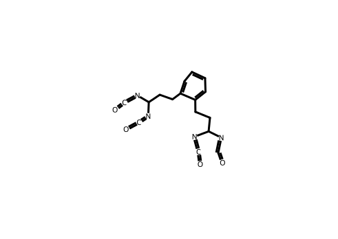 O=C=NC(CCc1ccccc1CCC(N=C=O)N=C=O)N=C=O